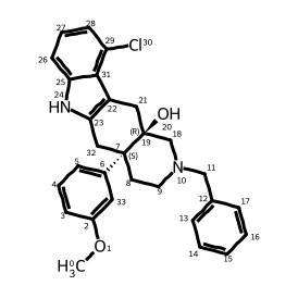 COc1cccc([C@@]23CCN(Cc4ccccc4)C[C@@]2(O)Cc2c([nH]c4cccc(Cl)c24)C3)c1